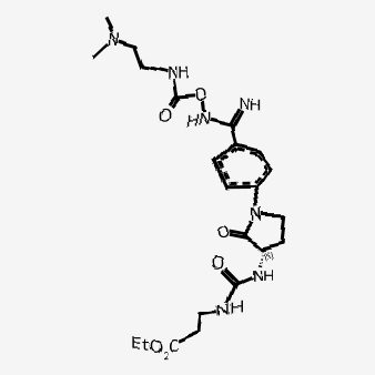 CCOC(=O)CCNC(=O)N[C@H]1CCN(c2ccc(C(=N)NOC(=O)NCCN(C)C)cc2)C1=O